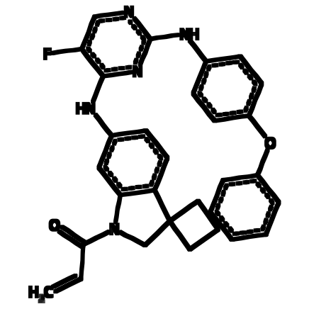 C=CC(=O)N1CC2(CCC2)c2ccc(Nc3nc(Nc4ccc(Oc5ccccc5)cc4)ncc3F)cc21